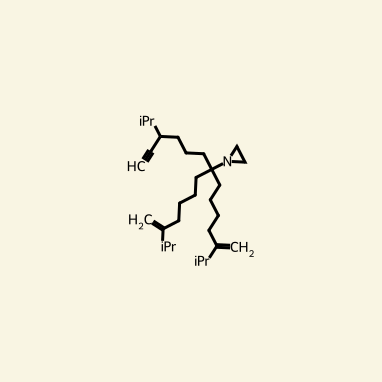 C#CC(CCCC(CCCCC(=C)C(C)C)(CCCCC(=C)C(C)C)N1CC1)C(C)C